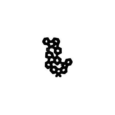 CC1(C)c2ccccc2-c2c1ccc1c3ccccc3n(-c3cc(-c4ccc5c6cccc7c8ccccc8c(=O)n(c5c4)c76)c4c5ccccc5c5ccccc5c4c3)c21